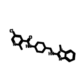 Cc1ncc(Cl)cc1C(=O)NC1CCC(CNc2nc3ccccc3n2C)CC1